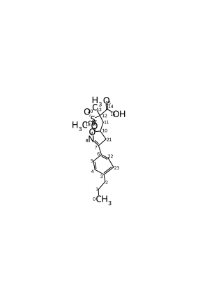 CCCc1ccc(C2=NOC(CC(C)(C(=O)O)S(C)(=O)=O)C2)cc1